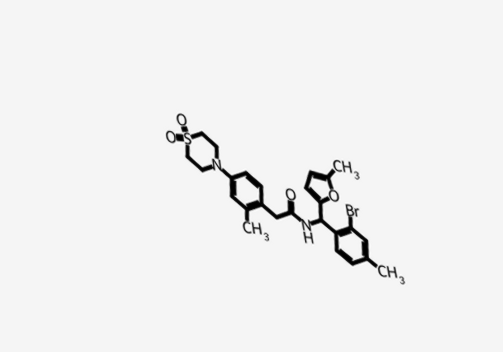 Cc1ccc(C(NC(=O)Cc2ccc(N3CCS(=O)(=O)CC3)cc2C)c2ccc(C)o2)c(Br)c1